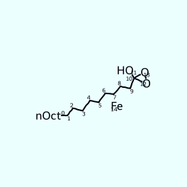 CCCCCCCCCCCCCCCCCC1(O)OO1.[Fe]